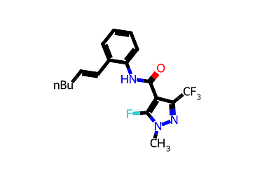 CCCCC=Cc1ccccc1NC(=O)c1c(C(F)(F)F)nn(C)c1F